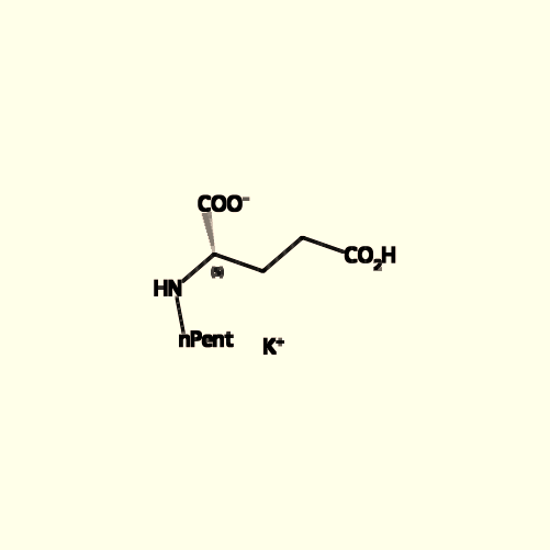 CCCCCN[C@@H](CCC(=O)O)C(=O)[O-].[K+]